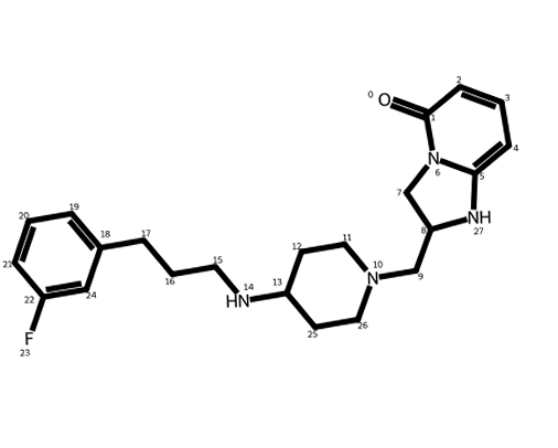 O=c1cccc2n1CC(CN1CCC(NCCCc3cccc(F)c3)CC1)N2